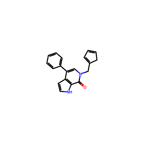 O=c1c2[nH]ccc2c(-c2ccccc2)cn1CC1=CC=CC1